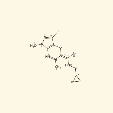 CC(=N)/C(Cc1cn(C)nc1I)=C(/Br)NCC1CC1